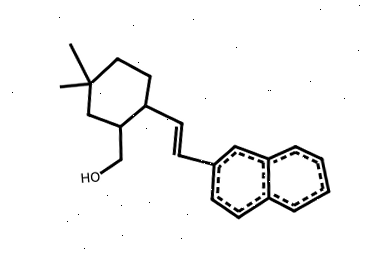 CC1(C)CCC(C=Cc2ccc3ccccc3c2)C(CO)C1